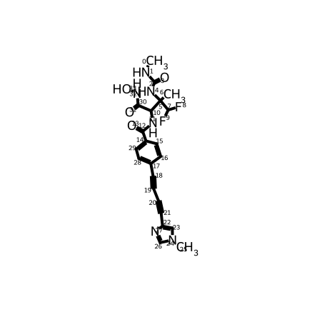 CNC(=O)NC(C)(C(F)F)C(NC(=O)c1ccc(C#CC#Cc2cn(C)cn2)cc1)C(=O)NO